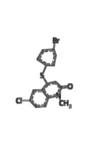 Cn1c(=O)cc(Sc2ccc(Br)cc2)c2cc(Cl)ccc21